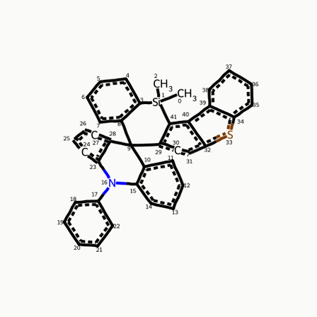 C[Si]1(C)c2ccccc2C2(c3ccccc3N(c3ccccc3)c3ccccc32)c2ccc3sc4ccccc4c3c21